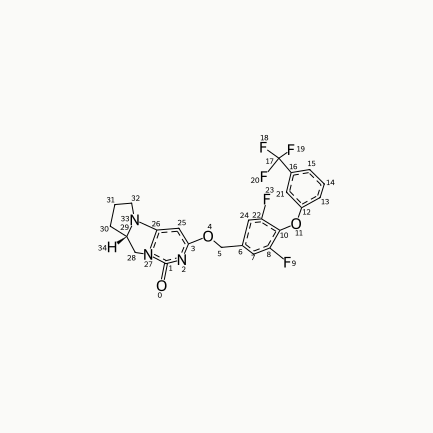 O=c1nc(OCc2cc(F)c(Oc3cccc(C(F)(F)F)c3)c(F)c2)cc2n1C[C@@H]1CCCN21